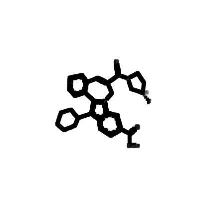 COC(=O)c1ccc2c(C3CCCCC3)c3n(c2c1)CC(C(=O)N1CC[C@H](F)C1)=Cc1ccccc1-3